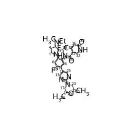 CCN(C)[C@H]1CCN(c2cc(F)c(-c3cnc(N4C[C@@H](C)O[C@@H](C)C4)nc3)cc2NC(=O)c2c[nH]c(=O)cc2C(F)(F)F)C1